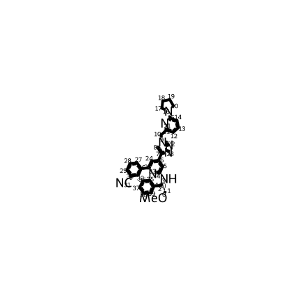 COC[C@@H](Nc1cc(-c2cn(Cc3cccc(N4CCCC4)n3)nn2)cc(-c2cccc(C#N)c2)n1)c1ccccc1